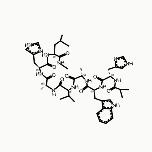 CNC(=O)[C@H](CC(C)C)NC(=O)[C@H](Cc1c[nH]cn1)NC(=O)[C@@H](C)NC(=O)[C@@H](NC(=O)[C@H](C)NC(=O)[C@H](Cc1c[nH]c2ccccc12)NC(=O)[C@H](Cc1c[nH]cn1)NC(=O)C(C)C)C(C)C